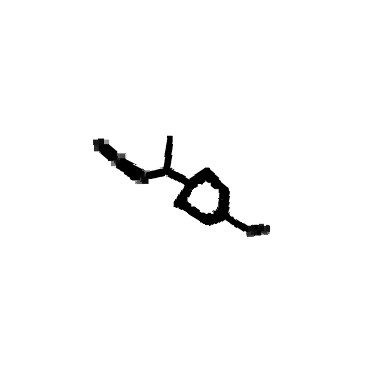 COc1ccc(C(C)N=[N+]=[N-])cc1